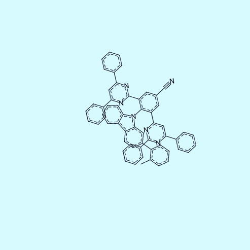 Cc1ccccc1-c1ccc2c3ccccc3n(-c3c(-c4cc(-c5ccccc5)nc(-c5ccccc5)n4)cc(C#N)cc3-c3nc(-c4ccccc4)cc(-c4ccccc4)n3)c2c1